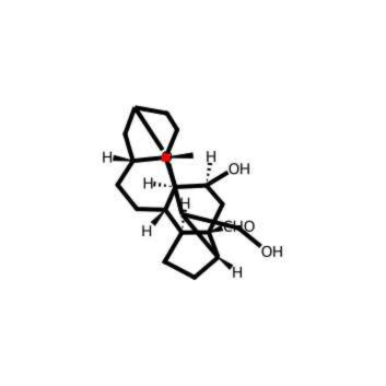 C[C@]12CCC3C[C@H]1CC[C@@H]1[C@@H]2[C@@H](O)C[C@]2(C=O)[C@H](CC[C@@H]12)C(CO)O3